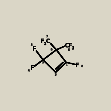 FC1=CC(F)(F)C1(C(F)(F)F)C(F)(F)F